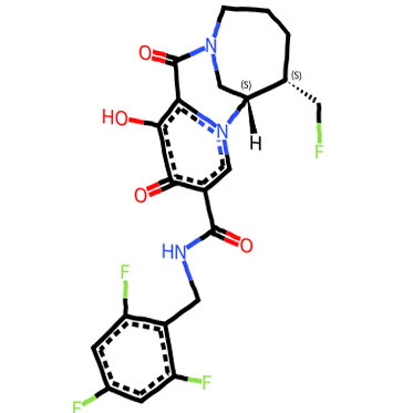 O=C(NCc1c(F)cc(F)cc1F)c1cn2c(c(O)c1=O)C(=O)N1CCC[C@H](CF)[C@H]2C1